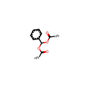 CCCC(=O)OC(OC(=O)CCC)c1ccccc1